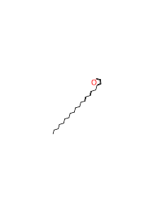 CCCCCCCCCCCCC=CC=CCc1ccco1